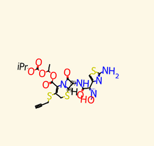 C#CCSC1=C(C(=O)OC(C)OC(=O)OC(C)C)N2C(=O)[C@@H](NC(=O)/C(=N\O)c3csc(N)n3)[C@H]2SC1